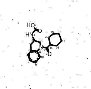 O=C(O)NC1Cc2ccccc2N(C(=O)C2CCCCC2)C1